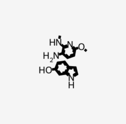 CNc1nc(OC)ccc1N.Oc1ccc2cc[nH]c2c1